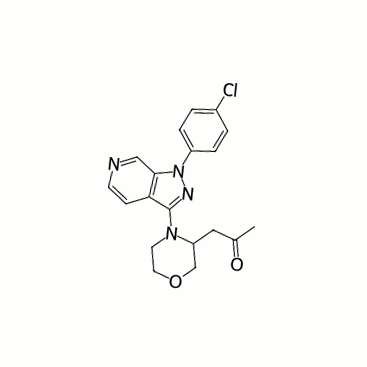 CC(=O)CC1COCCN1c1nn(-c2ccc(Cl)cc2)c2cnccc12